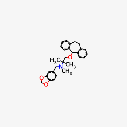 CN(Cc1ccc2c(c1)OCO2)C(C)(C)COC1c2ccccc2CCc2ccccc21